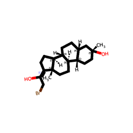 C[C@@]1(O)CC[C@H]2[C@H](CC[C@@H]3[C@@H]2CC[C@]2(C)/C(=C(/O)CBr)CC[C@@H]32)C1